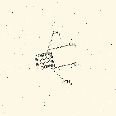 CCCCCCCCCCC(CCCCCCCC)CNC(=O)c1c(Br)c(Br)c(C(=O)NCC(CCCCCCCC)CCCCCCCCCC)c2c(C(=O)O)c(Br)c(Br)c(C(=O)O)c12